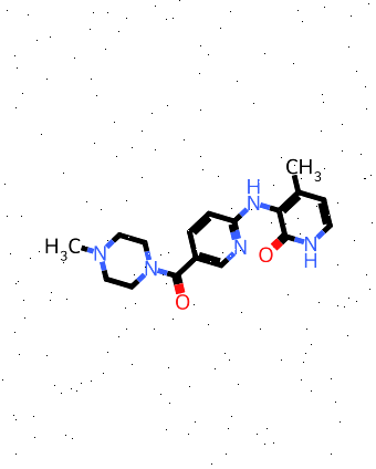 Cc1cc[nH]c(=O)c1Nc1ccc(C(=O)N2CCN(C)CC2)cn1